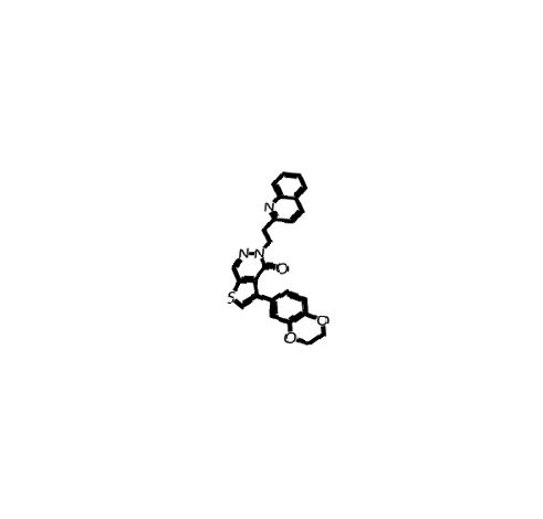 O=c1c2c(-c3ccc4c(c3)OCCO4)csc2cnn1CCc1ccc2ccccc2n1